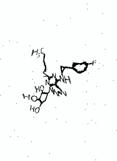 CCCCSc1nc(NC2CC2c2ccc(F)cc2)c2nnn(C3CC(O)C(O)C3O)c2n1